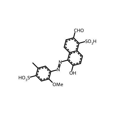 COc1cc(S(=O)(=O)O)c(C)cc1N=Nc1c(O)ccc2c(S(=O)(=O)O)c(C=O)ccc12